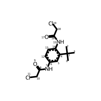 CC(C)(C)c1cc(NC(=O)CCl)ccc1NC(=O)CCl